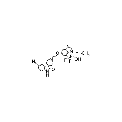 CCC[C@@H](CO)n1cnc2cc(OCCN3CCC4(CC3)C(=O)Nc3ccc(C#N)cc34)cc(C(F)(F)F)c21